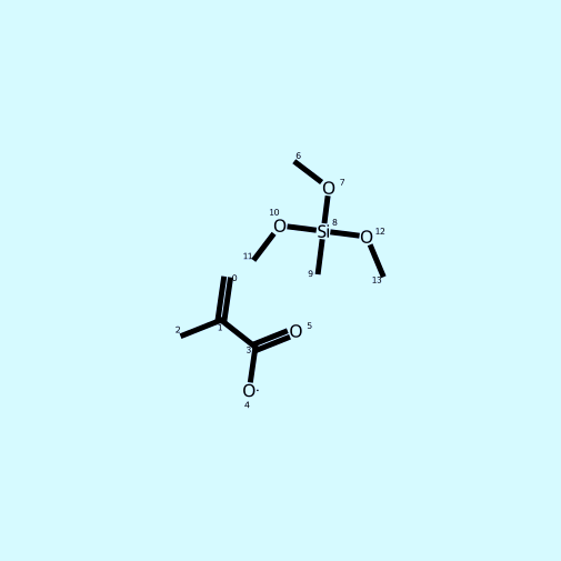 C=C(C)C([O])=O.CO[Si](C)(OC)OC